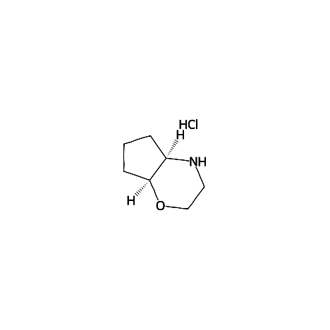 C1C[C@@H]2OCCN[C@@H]2C1.Cl